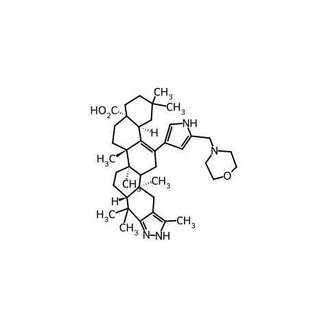 Cc1[nH]nc2c1C[C@]1(C)C3CC(c4c[nH]c(CN5CCOCC5)c4)=C4[C@@H]5CC(C)(C)CC[C@]5(C(=O)O)CC[C@@]4(C)[C@]3(C)CC[C@H]1C2(C)C